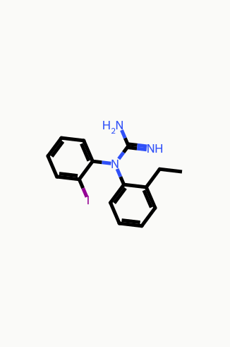 CCc1ccccc1N(C(=N)N)c1ccccc1I